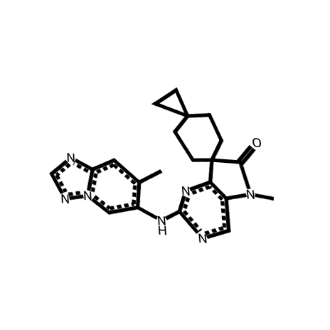 Cc1cc2ncnn2cc1Nc1ncc2c(n1)C1(CCC3(CC3)CC1)C(=O)N2C